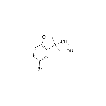 CC1(CO)COc2ccc(Br)cc21